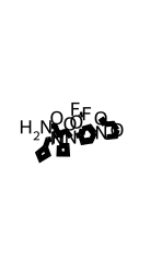 NC(=O)[C@@H](C(=O)Nc1ccc(N2CCOCC2=O)cc1OC(F)F)N(CC1CCC1)C1CCC1